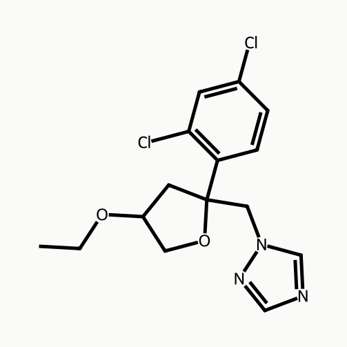 CCOC1COC(Cn2cncn2)(c2ccc(Cl)cc2Cl)C1